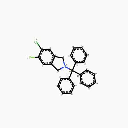 Fc1cc2c(cc1Cl)CN(C(c1ccccc1)(c1ccccc1)c1ccccc1)C2